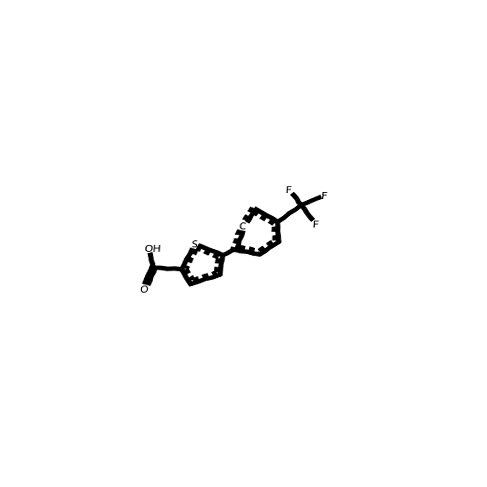 O=C(O)c1ccc(-c2ccc(C(F)(F)F)cc2)s1